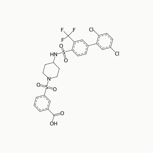 O=C(O)c1cccc(S(=O)(=O)N2CCC(NS(=O)(=O)c3ccc(-c4cc(Cl)ccc4Cl)cc3C(F)(F)F)CC2)c1